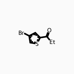 CCC(=O)c1cc(Br)cs1